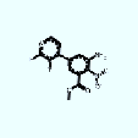 COC(=O)c1cc(-c2ccnc(F)c2F)cc(N)c1[N+](=O)[O-]